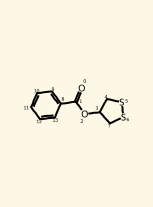 O=C(OC1CSSC1)c1ccccc1